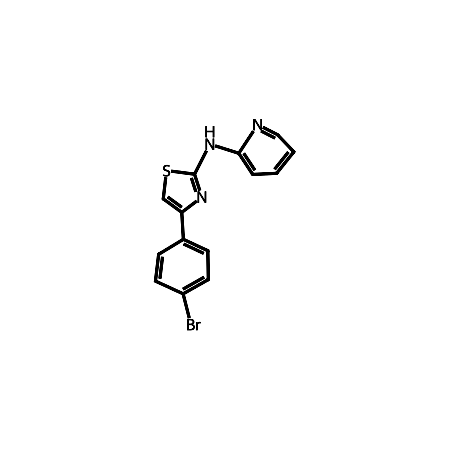 Brc1ccc(-c2csc(Nc3ccccn3)n2)cc1